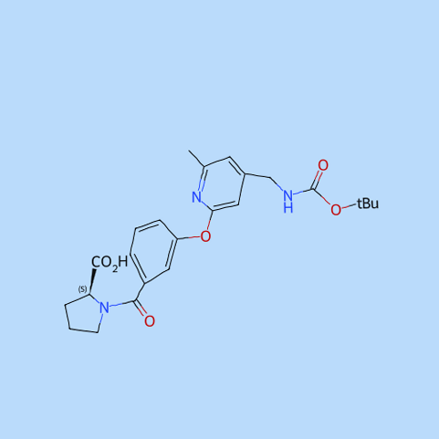 Cc1cc(CNC(=O)OC(C)(C)C)cc(Oc2cccc(C(=O)N3CCC[C@H]3C(=O)O)c2)n1